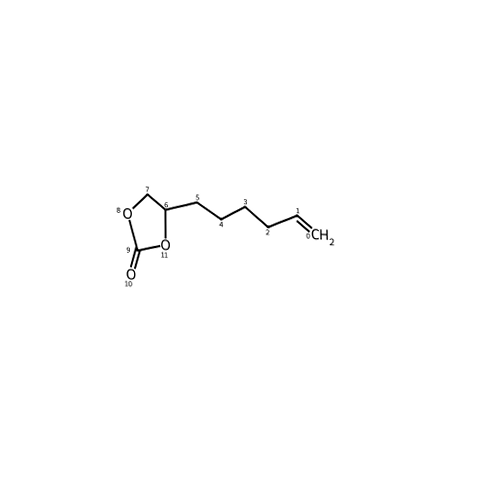 C=CCCCCC1COC(=O)O1